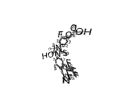 CC1(C)C(O)N(c2ccc(C#N)c(C(F)(F)F)c2)C(=S)N1c1ccc(OCC(=O)O)c(F)c1